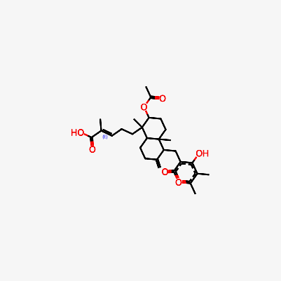 C=C1CCC2C(C)(CC/C=C(\C)C(=O)O)C(OC(C)=O)CCC2(C)C1Cc1c(O)c(C)c(C)oc1=O